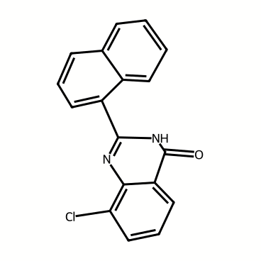 O=c1[nH]c(-c2cccc3ccccc23)nc2c(Cl)cccc12